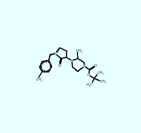 Cc1ccc(CN2CCC(N3CCN(C(=O)OC(C)(C)C)CC3C)C2=O)cc1